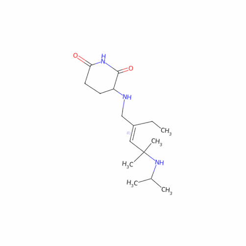 CC/C(=C\C(C)(C)NC(C)C)CNC1CCC(=O)NC1=O